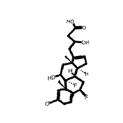 C[C@]12C=C(Cl)CC=C1C(F)C[C@H]1[C@@H]3CC=C(CC(O)CC(=O)O)[C@@]3(C)CC(O)[C@@]12F